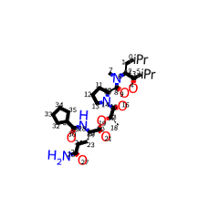 CC(C)C[C@@H](C(=O)C(C)C)N(C)C(=O)[C@@H]1CCCN1C(=O)[C@H](C)OC(=O)[C@H](CCC(N)=O)NC(=O)C1CCCC1